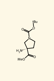 COC(=O)[C@]1(N)CCN(C(=O)OC(C)(C)C)C1